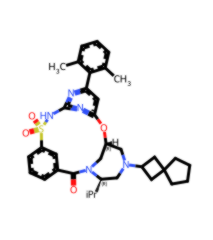 Cc1cccc(C)c1-c1cc2nc(n1)NS(=O)(=O)c1cccc(c1)C(=O)N1C[C@@H](CN(C3CC4(CCCC4)C3)C[C@H]1C(C)C)O2